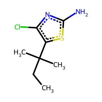 CCC(C)(C)c1sc(N)nc1Cl